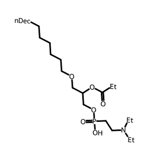 CCCCCCCCCCCCCCCCOCC(COP(=O)(O)CCN(CC)CC)OC(=O)CC